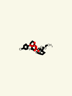 CCOC(=O)C12CCC(CN(C(=O)CN3CCCCC3)C1)N2S(=O)(=O)c1cc(F)c(Oc2ccc(Cl)cc2)c(F)c1